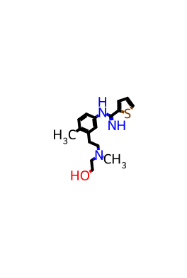 Cc1ccc(NC(=N)c2cccs2)cc1CCN(C)CCO